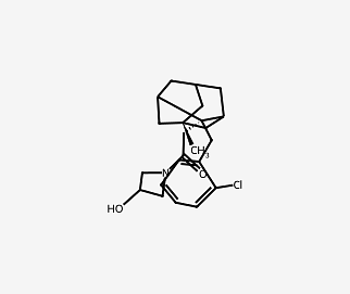 C[C@]12CC3CC(C1)[C@](CC(=O)N1CC(O)C1)(Cc1ccccc1Cl)C(C3)C2